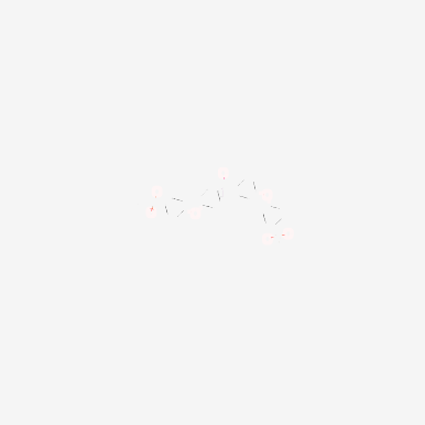 O=[PH](c1ccc(Oc2ccc(S(=O)(=O)C(F)(F)F)cc2)cc1)c1ccc(Oc2ccc(S(=O)(=O)C(F)(F)F)cc2)cc1